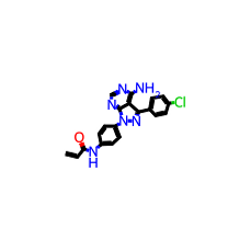 C=CC(=O)Nc1ccc(-n2nc(-c3ccc(Cl)cc3)c3c(N)ncnc32)cc1